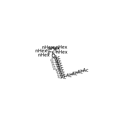 CC(C)=O.CC(C)=O.CC(C)=O.CC(C)=O.CC(C)=O.CC(C)=O.CC(C)=O.CC(C)=O.CC(C)=O.CC(C)=O.CC(C)=O.CC(C)=O.CC(C)=O.CC(C)=O.CCCCCCC(CCCCCC)(CCCCCC)C(=O)C(CCCCCC)(CCCCCC)CCCCCC